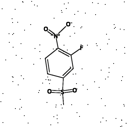 CS(=O)(=O)c1ccc([N+](=O)[O-])c(F)c1